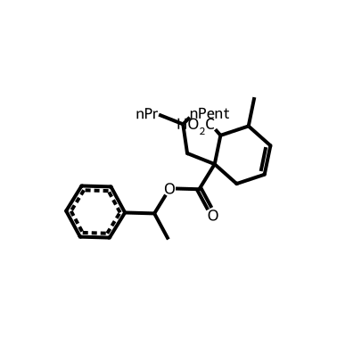 CCCCCC(CCC)CC1(C(=O)OC(C)c2ccccc2)CC=CC(C)C1C(=O)O